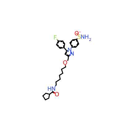 N[S+]([O-])c1ccc(-n2nc(COCCCCCCCNC(=O)C3CCCC3)cc2-c2ccc(F)cc2)cc1